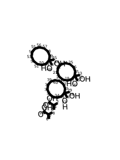 C=C(C)C(=O)O.C=C(C)C(=O)O.OCC1(CO)CCCCCCCCCCC1.OCC1(CO)CCCCCCCCCCC1.OCC1(CO)CCCCCCCCCCC1